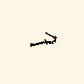 CCCCCCCCCCCCOC(=O)C(C)(CC)CC(C)(C)C(=O)OCCN(CC)c1ccc(/N=N/c2cc(OC)c(/N=N/c3ccc(/N=N/c4ccc(/N=N/c5ccc([N+](=O)[O-])cc5)cc4)cc3)cc2OC)cc1